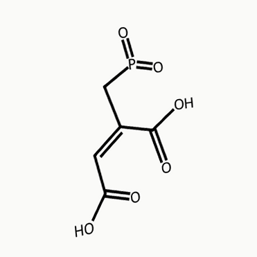 O=C(O)/C=C(/CP(=O)=O)C(=O)O